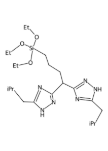 CCO[Si](CCCC(c1n[nH]c(CC(C)C)n1)c1n[nH]c(CC(C)C)n1)(OCC)OCC